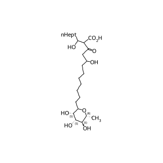 CCCCCCCC(O)C(C(=O)O)C(=O)CC(O)CCCCCCCC1O[C@H](C)[C@@H](O)[C@H](O)[C@@H]1O